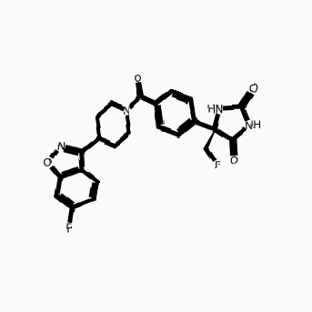 O=C1NC(=O)[C@](CF)(c2ccc(C(=O)N3CCC(c4noc5cc(F)ccc45)CC3)cc2)N1